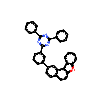 c1ccc(-c2nc(-c3ccccc3)nc(-c3cccc(-c4ccc5ccc6oc7ccccc7c6c5c4)c3)n2)cc1